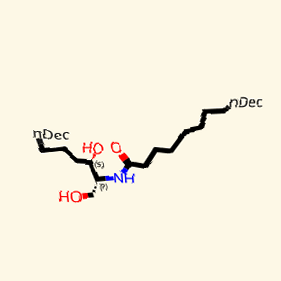 CCCCCCCCCCCCCCCCCC(=O)N[C@H](CO)[C@@H](O)CCCCCCCCCCCCC